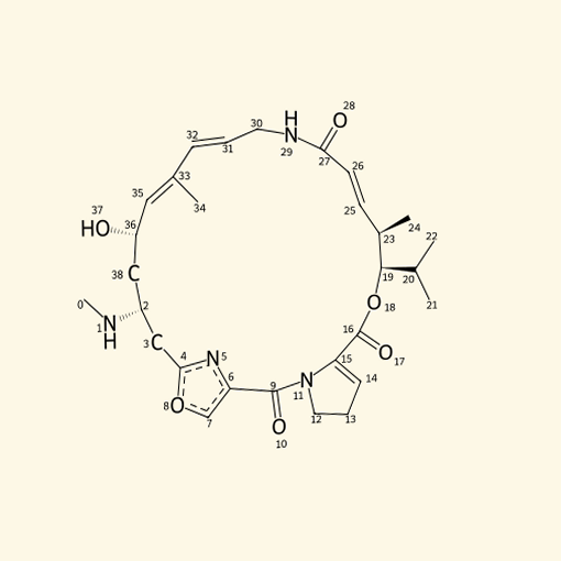 CN[C@H]1Cc2nc(co2)C(=O)N2CCC=C2C(=O)O[C@H](C(C)C)[C@H](C)/C=C/C(=O)NC/C=C/C(C)=C/[C@@H](O)C1